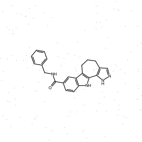 O=C(NCc1ccccc1)c1ccc2[nH]c3c(c2c1)CCCc1cn[nH]c1-3